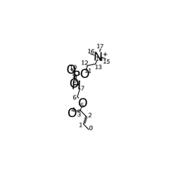 CC=CC(=O)OCCO[PH](=O)OCC[N+](C)(C)C